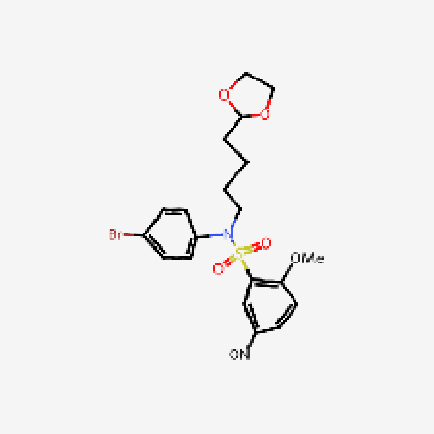 COc1ccc(N=O)cc1S(=O)(=O)N(CCCCC1OCCO1)c1ccc(Br)cc1